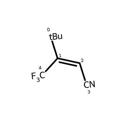 CC(C)(C)C(=CC#N)C(F)(F)F